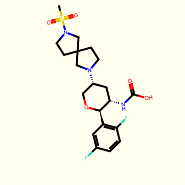 CS(=O)(=O)N1CCC2(CCN([C@H]3CO[C@H](c4cc(F)ccc4F)[C@@H](NC(=O)O)C3)C2)C1